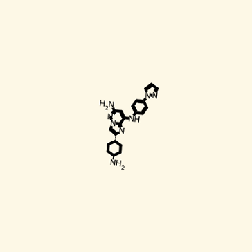 Nc1cc(Nc2ccc(-n3cccn3)cc2)c2nc([C@H]3CC[C@H](N)CC3)cn2n1